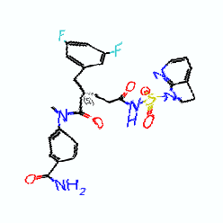 CN(C(=O)[C@@H](CCC(=O)NS(=O)(=O)N1CCc2cccnc21)Cc1cc(F)cc(F)c1)c1ccc(C(N)=O)cc1